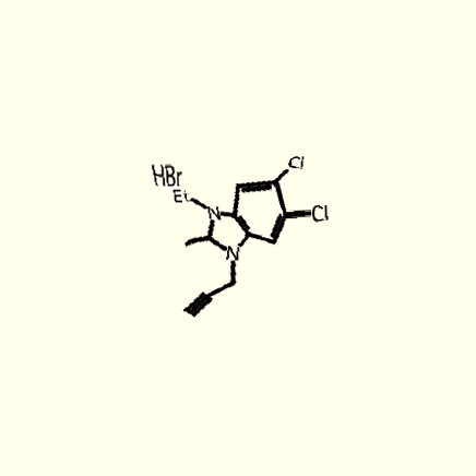 Br.C#CCN1c2cc(Cl)c(Cl)cc2N(CC)C1C